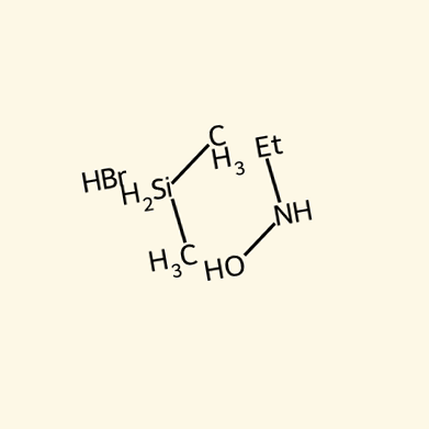 Br.CCNO.C[SiH2]C